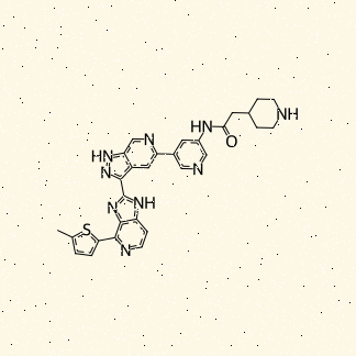 Cc1ccc(-c2nccc3[nH]c(-c4n[nH]c5cnc(-c6cncc(NC(=O)CC7CCNCC7)c6)cc45)nc23)s1